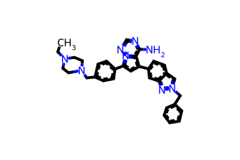 CCN1CCN(Cc2ccc(-c3cc(-c4ccc5cn(Cc6ccccc6)nc5c4)c4c(N)ncnn34)cc2)CC1